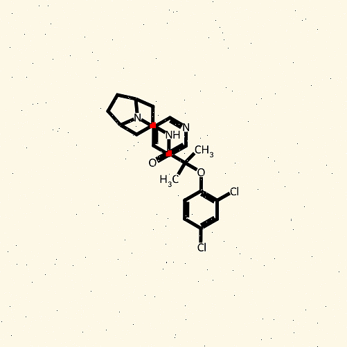 CC(C)(Oc1ccc(Cl)cc1Cl)C(=O)NC1CC2CCC(C1)N2c1cccnc1